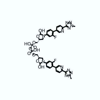 Cn1nnc(-c2ccc(-c3ccc(N4C[C@H](COP(=O)(O)OP(=O)(O)OC[C@H]5CN(c6ccc(-c7ccc(-c8nnn(C)n8)nc7)c(F)c6)C(O)O5)OC4O)cc3F)cn2)n1